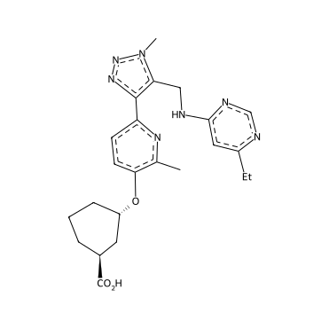 CCc1cc(NCc2c(-c3ccc(O[C@H]4CCC[C@H](C(=O)O)C4)c(C)n3)nnn2C)ncn1